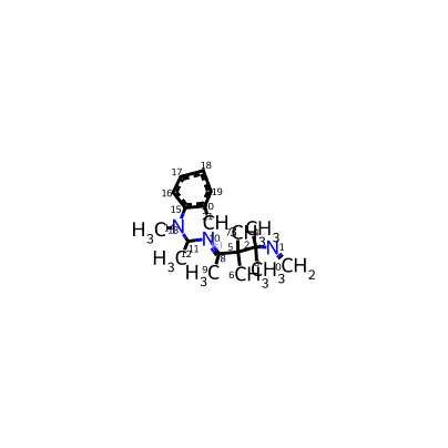 C=NC(C)(C)C(C)(C)/C(C)=N/C(C)N(C)c1ccccc1C